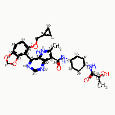 Cc1[nH]c2c(-c3c(OCC4CC4)ccc4c3OCO4)ncnc2c1C(=O)N[C@H]1CC[C@@H](NC(=O)[C@H](C)O)CC1